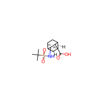 CC(C)(C)S(=O)(=O)N[C@H]1C2CCC(CC2)[C@H]1C(=O)O